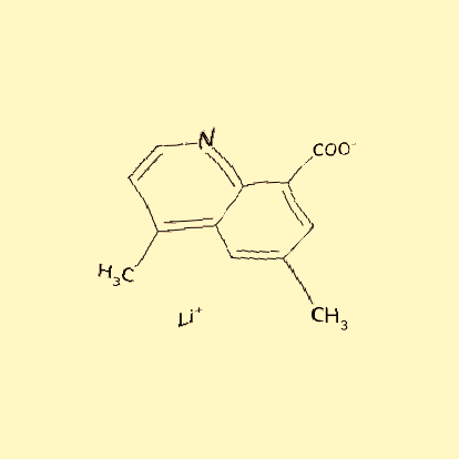 Cc1cc(C(=O)[O-])c2nccc(C)c2c1.[Li+]